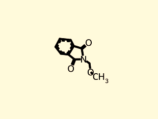 COCN1C(=O)c2ccccc2C1=O